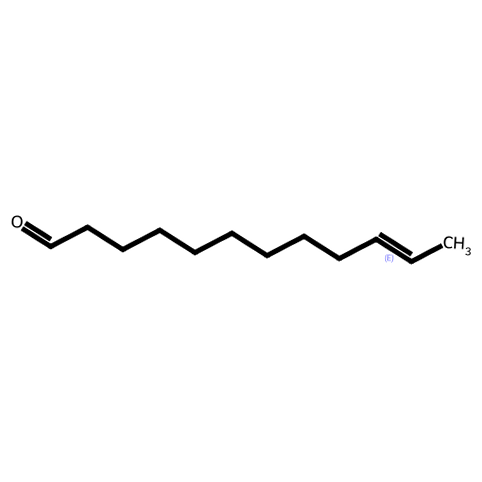 C/C=C/CCCCCCCCC=O